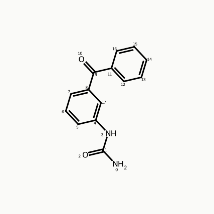 NC(=O)Nc1cccc(C(=O)c2ccccc2)c1